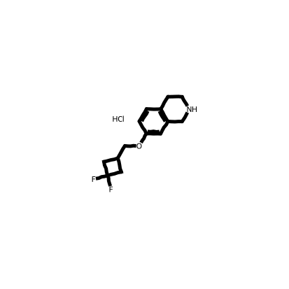 Cl.FC1(F)CC(COc2ccc3c(c2)CNCC3)C1